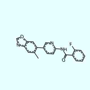 Cc1cc2ncoc2cc1-c1ccc(NC(=O)c2ccccc2F)nc1